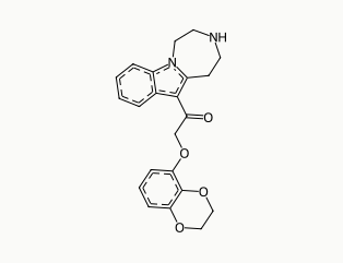 O=C(COc1cccc2c1OCCO2)c1c2n(c3ccccc13)CCNCC2